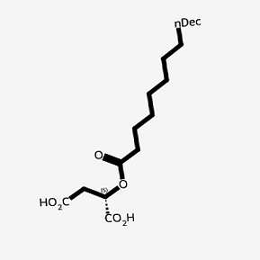 CCCCCCCCCCCCCCCCCC(=O)O[C@@H](CC(=O)O)C(=O)O